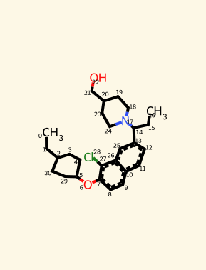 CCC1CCC(Oc2ccc3ccc(C(CC)N4CCC(CO)CC4)cc3c2Cl)CC1